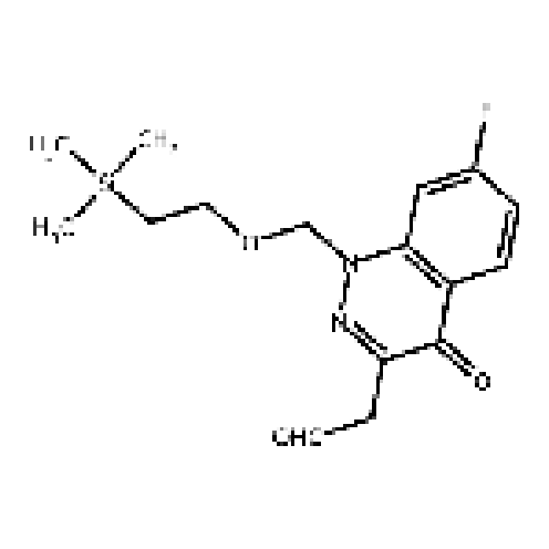 C[Si](C)(C)CCOCn1nc(CC=O)c(=O)c2ccc(F)cc21